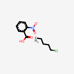 CCCCCCl.O=C(O)c1ccccc1[N+](=O)[O-]